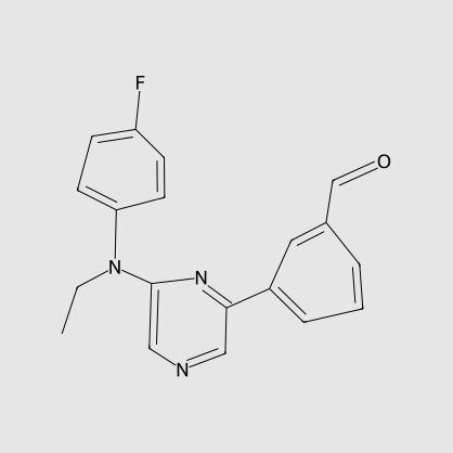 CCN(c1ccc(F)cc1)c1cncc(-c2cccc(C=O)c2)n1